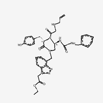 C=CCNCC(=O)N1[C@@H](NC(=O)NCc2ccccc2)CN(Cc2cccc3c2nnn3CC(=O)OCC)C(=O)[C@@H]1Cc1ccc(O)cc1